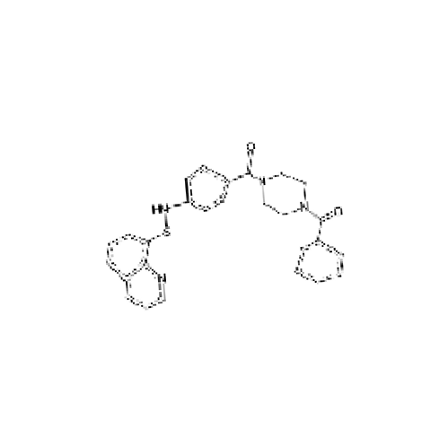 O=C(c1ccccc1)N1CCN(C(=O)c2ccc(NSc3cccc4cccnc34)cc2)CC1